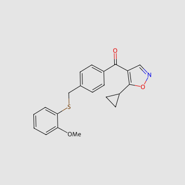 COc1ccccc1SCc1ccc(C(=O)c2cnoc2C2CC2)cc1